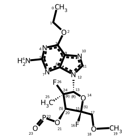 CCOc1nc(N)nc2c1ncn2[C@@H]1O[C@](F)(COC)[C@@H](OP=O)[C@@]1(C)F